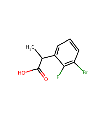 CC(C(=O)O)c1cccc(Br)c1F